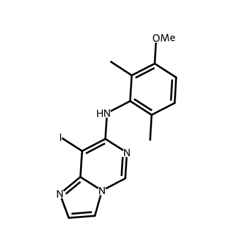 COc1ccc(C)c(Nc2ncn3ccnc3c2I)c1C